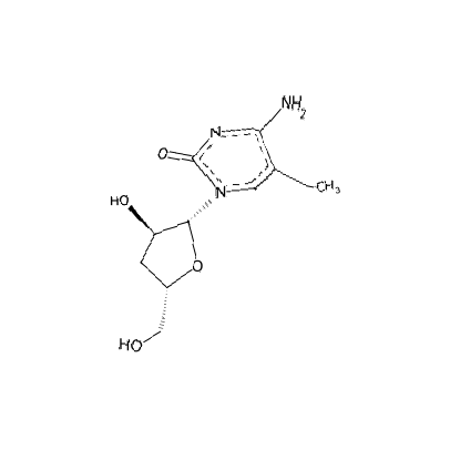 Cc1cn([C@@H]2O[C@H](CO)C[C@H]2O)c(=O)nc1N